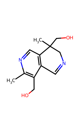 Cc1ncc2c(c1CO)C=NCC2(C)CO